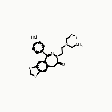 CCN(CC)CCN1N=C(c2ccccc2)c2cc3c(cc2CC1=O)OCO3.Cl